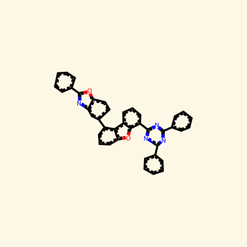 c1ccc(-c2nc(-c3ccccc3)nc(-c3cccc4c3oc3cccc(-c5ccc6oc(-c7ccccc7)nc6c5)c34)n2)cc1